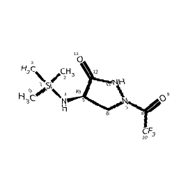 C[Si](C)(C)N[C@@H]1CN(C(=O)C(F)(F)F)NC1=O